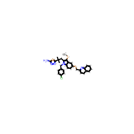 CC(C)(C)Sc1c(CC(C)(C)c2nnc(N)s2)n(Cc2ccc(Cl)cc2)c2ccc(SCc3ccc4ccccc4n3)cc12